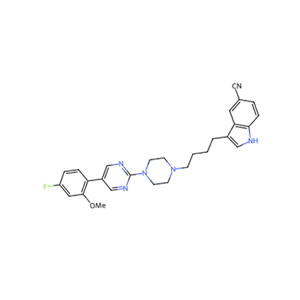 COc1cc(F)ccc1-c1cnc(N2CCN(CCCCc3c[nH]c4ccc(C#N)cc34)CC2)nc1